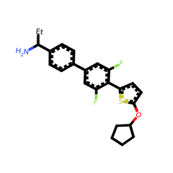 CCC(N)c1ccc(-c2cc(F)c(-c3ccc(OC4CCCC4)s3)c(F)c2)cc1